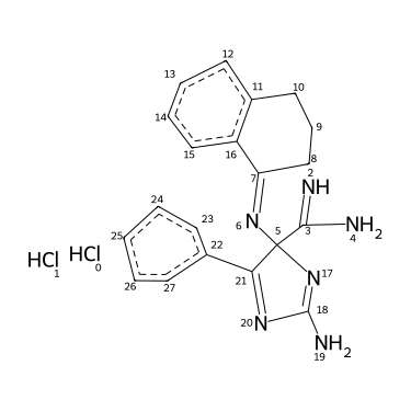 Cl.Cl.N=C(N)C1(N=C2CCCc3ccccc32)N=C(N)N=C1c1ccccc1